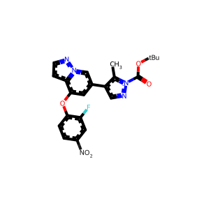 Cc1c(-c2cc(Oc3ccc([N+](=O)[O-])cc3F)c3ccnn3c2)cnn1C(=O)OC(C)(C)C